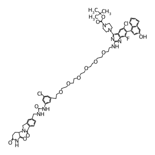 CC(C)(C)OC(=O)N1CCN(c2nc(NCCOCCOCCOCCOCCOCCOCCc3cc(Cl)cc(NC(=O)NCc4ccc5c(c4)CN(C4CCC(=O)NC4=O)C5=O)c3)nc3c(F)c(-c4cc(O)cc5ccccc45)c(Cl)cc23)CC1